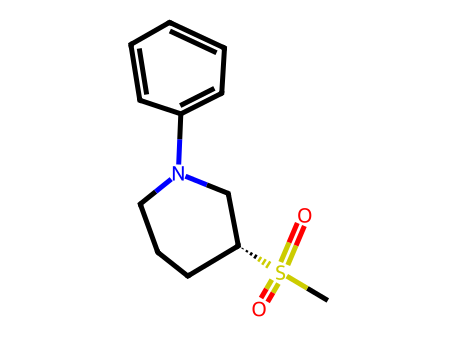 CS(=O)(=O)[C@@H]1CCCN(c2ccccc2)C1